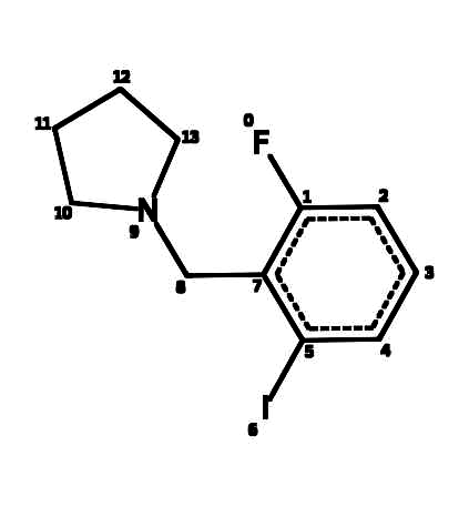 Fc1cccc(I)c1CN1CCCC1